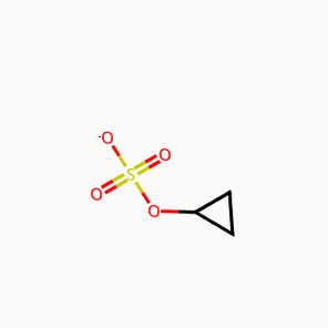 [O]S(=O)(=O)OC1CC1